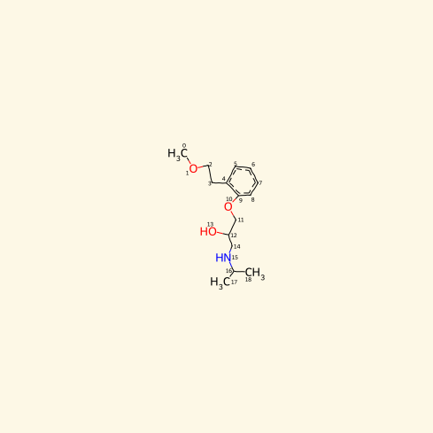 COCCc1ccccc1OCC(O)CNC(C)C